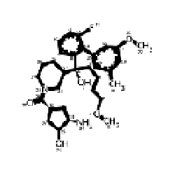 COCCCC[C@@](O)(c1cccc(F)c1-c1cc(C)cc(OC)c1)C1CCCN(C(=O)[C@H]2C[C@@H](N)[C@@H](O)C2)C1